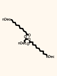 CCCCCCCCCCCCCCCCCCCC(=O)OC(CCCCCCCCCCC)OC(=O)CCCCCCCCCCCCCCCCCCC